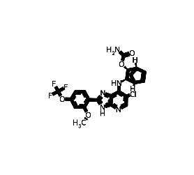 COc1cc(OC(F)(F)F)ccc1-c1nc2c(N[C@H]3[C@@H](OC(N)=O)[C@@H]4C=C[C@H]3C4)c(Cl)cnc2[nH]1